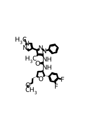 COCC[C@@H]1C[C@@H](NC(=O)Nc2c(C)c(-c3cnn(C)c3)nn2-c2ccccc2)[C@H](c2ccc(F)c(F)c2)O1